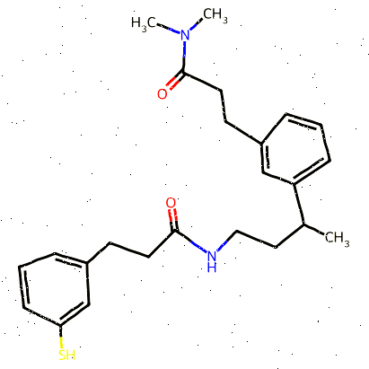 CC(CCNC(=O)CCc1cccc(S)c1)c1cccc(CCC(=O)N(C)C)c1